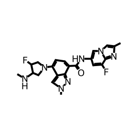 CNC1CN(c2ccc(C(=O)Nc3cc(F)c4nc(C)cn4c3)c3nn(C)cc23)CC1F